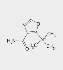 C[N+](C)(C)c1ocnc1C(N)=O